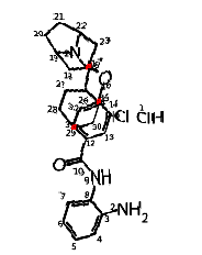 Cl.Cl.Nc1ccccc1NC(=O)c1ccc(OC2CC3CCC(C2)N3CC2CCCCC2)cc1